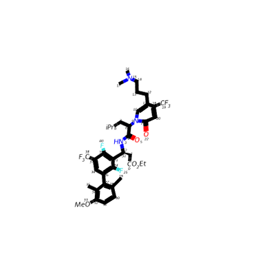 CCOC(=O)C[C@H](NC(=O)C(CC(C)C)n1cc(CCCN(C)C)c(C(F)(F)F)cc1=O)c1c(F)c(-c2c(C)ccc(OC)c2C)cc(C(F)(F)F)c1F